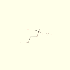 COC(C)(C)CCCC(C)C